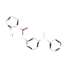 Nc1ccccc1C(=O)Nc1cccc(Nc2ccccc2)c1